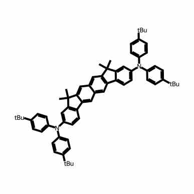 CC(C)(C)c1ccc(N(c2ccc(C(C)(C)C)cc2)c2ccc3c(c2)C(C)(C)c2cc4cc5c(cc4cc2-3)-c2ccc(N(c3ccc(C(C)(C)C)cc3)c3ccc(C(C)(C)C)cc3)cc2C5(C)C)cc1